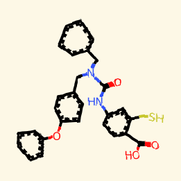 O=C(O)c1ccc(NC(=O)N(Cc2ccccc2)Cc2ccc(Oc3ccccc3)cc2)cc1S